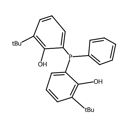 CC(C)(C)c1cccc(P(c2ccccc2)c2cccc(C(C)(C)C)c2O)c1O